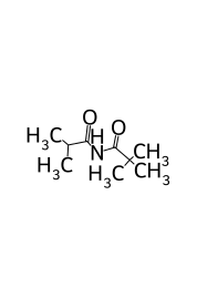 CC(C)C(=O)NC(=O)C(C)(C)C